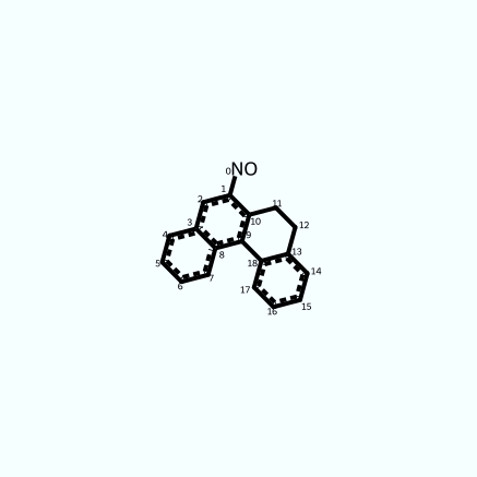 O=Nc1cc2ccccc2c2c1CCc1ccccc1-2